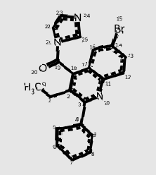 CCc1c(-c2ccccc2)nc2ccc(Br)cc2c1C(=O)n1ccnc1